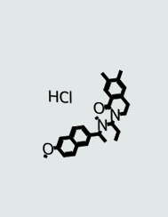 CCC(N1CCc2cc(C)c(C)cc2C1=O)N(C)C(C)c1ccc2cc(OC)ccc2c1.Cl